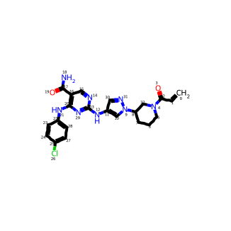 C=CC(=O)N1CCCC(n2cc(Nc3ncc(C(N)=O)c(Nc4ccc(Cl)cc4)n3)cn2)C1